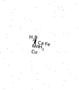 [BH2][Mn].[CaH2].[Cu].[Fe]